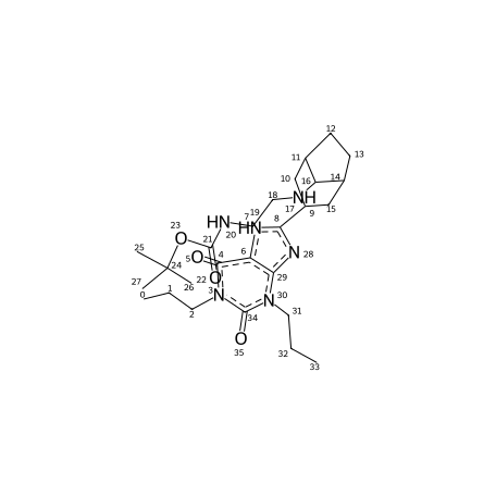 CCCn1c(=O)c2[nH]c(C3CC4CCC(C3)C4NCCNC(=O)OC(C)(C)C)nc2n(CCC)c1=O